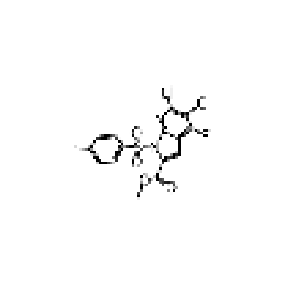 COC(=O)c1cc2c(F)c(Cl)c(Cl)nc2n1S(=O)(=O)c1ccc(C)cc1